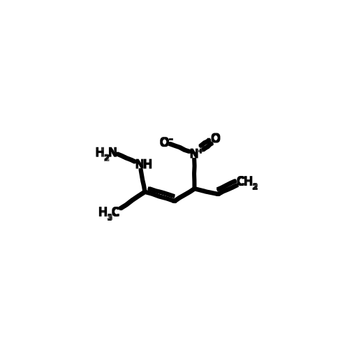 C=CC(C=C(C)NN)[N+](=O)[O-]